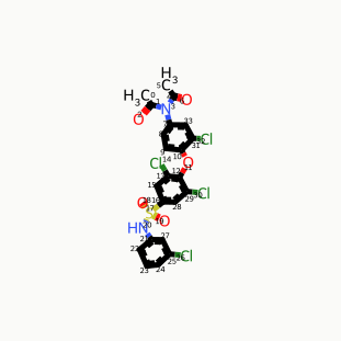 CC(=O)N(C(C)=O)c1ccc(Oc2c(Cl)cc(S(=O)(=O)Nc3cccc(Cl)c3)cc2Cl)c(Cl)c1